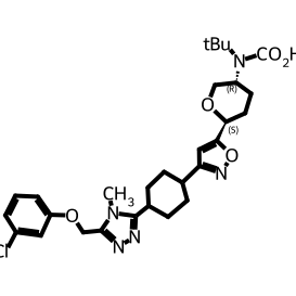 Cn1c(COc2cccc(Cl)c2)nnc1C1CCC(c2cc([C@@H]3CC[C@@H](N(C(=O)O)C(C)(C)C)CO3)on2)CC1